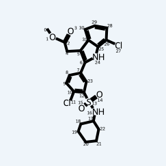 COC(=O)Cc1c(-c2ccc(Cl)c(S(=O)(=O)NC3CCCCC3)c2)[nH]c2c(Cl)cccc12